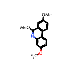 COc1ccc2c(c1)c(OC)nc1cc(OC(F)(F)F)ccc12